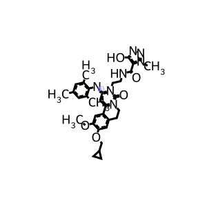 COc1cc2c(cc1OCC1CC1)CCn1c-2c/c(=N\c2c(C)cc(C)cc2C)n(CCNC(=O)c2c(O)nnn2C)c1=O